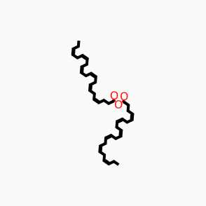 CC/C=C\C/C=C\C/C=C\C/C=C\C/C=C\C/C=C\CCC(=O)OC(=O)CC/C=C\C/C=C\C/C=C\C/C=C\C/C=C\C/C=C\CC